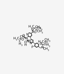 CN(Cc1ccc(-c2cc(-c3cc(B4OC(C)(C)C(C)(C)O4)cnc3N(C(=O)O)C(=O)OC(C)(C)C)on2)c(F)c1)C(=O)OC(C)(C)C